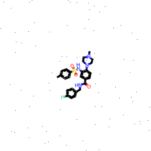 Cc1ccc(S(=O)(=O)Nc2cc(C(=O)NCc3ccc(F)cc3)ccc2N2CCN(C)CC2)cc1